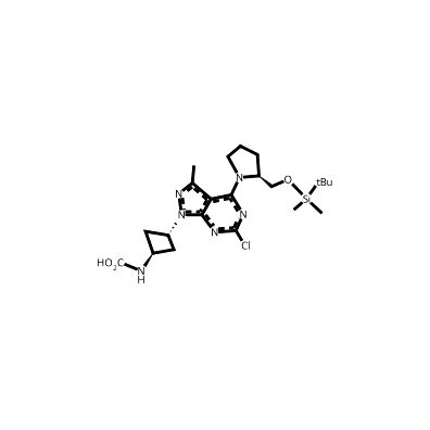 Cc1nn([C@H]2C[C@H](NC(=O)O)C2)c2nc(Cl)nc(N3CCC[C@H]3CO[Si](C)(C)C(C)(C)C)c12